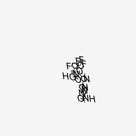 CC(=O)Nc1cn2nc(-c3cnc(C)c(C(=O)N(C(=O)O)[C@H](C)c4cc(OC(F)(F)F)ccc4F)c3)ccc2n1